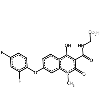 Cn1c(=O)c(C(=O)NCC(=O)O)c(O)c2ccc(Oc3ccc(F)cc3F)cc21